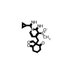 C[S+]([O-])c1c(CC2(C=O)C(=O)CCCC2=O)ccn(C(=N)C2CC2)c1=N